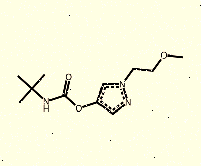 COCCn1cc(OC(=O)NC(C)(C)C)cn1